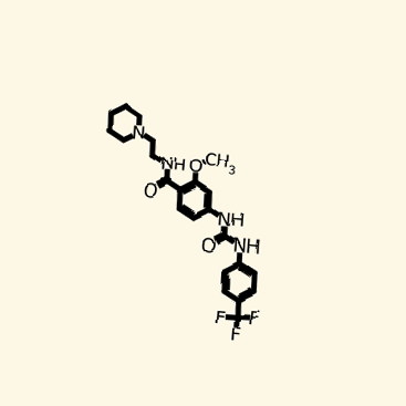 COc1cc(NC(=O)Nc2ccc(C(F)(F)F)cc2)ccc1C(=O)NCCN1CCCCC1